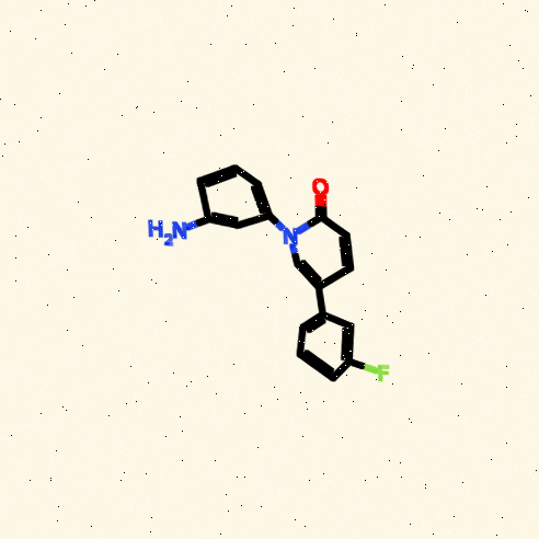 Nc1cccc(-n2cc(-c3cccc(F)c3)ccc2=O)c1